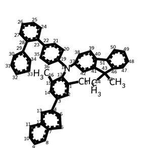 Cc1cc(-c2ccc3ccccc3c2)cc(C)c1N(c1ccc(-c2ccccc2-c2ccccc2)cc1)c1ccc2c(c1)C(C)(C)c1ccccc1-2